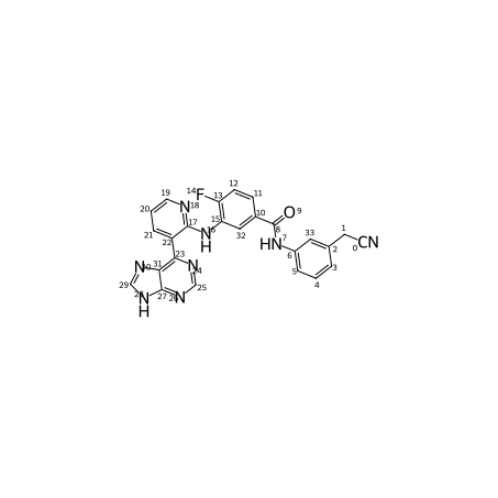 N#CCc1cccc(NC(=O)c2ccc(F)c(Nc3ncccc3-c3ncnc4[nH]cnc34)c2)c1